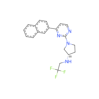 FC(F)(F)CN[C@H]1CCN(c2nccc(-c3ccc4ccccc4c3)n2)C1